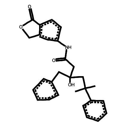 CC(C)(CC(O)(CC(=O)Nc1ccc2c(c1)COC2=O)Cc1ccccc1)c1ccccc1